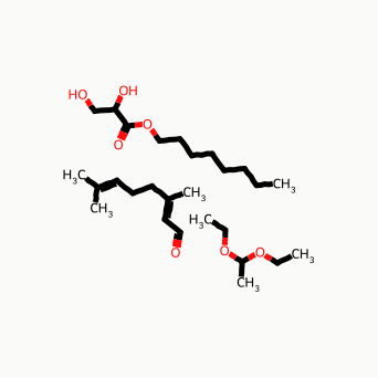 CC(C)=CCCC(C)=CC=O.CCCCCCCCOC(=O)C(O)CO.CCOC(C)OCC